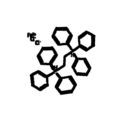 [Cl-].[Cl-].[Fe+2].c1ccc([PH](CC[PH](c2ccccc2)(c2ccccc2)c2ccccc2)(c2ccccc2)c2ccccc2)cc1